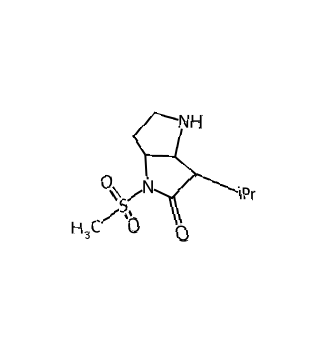 CC(C)C1C(=O)N(S(C)(=O)=O)C2CCNC12